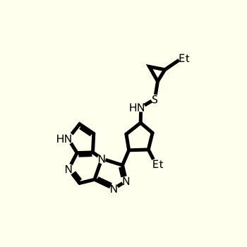 CCC1CC1SNC1CC(CC)C(c2nnc3cnc4[nH]ccc4n23)C1